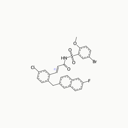 COc1ccc(Br)cc1S(=O)(=O)NC(=O)/C=C/c1cc(Cl)ccc1Cc1ccc2cc(F)ccc2c1